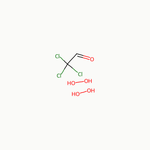 O=CC(Cl)(Cl)Cl.OO.OO